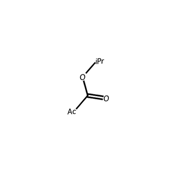 CC(=O)C(=O)OC(C)C